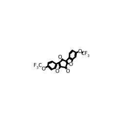 O=C1c2oc3cc(OC(F)(F)F)ccc3c2C(=O)c2c1oc1cc(OC(F)(F)F)ccc21